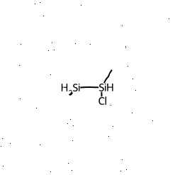 C[SiH2][SiH](C)Cl